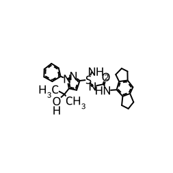 CC(C)(O)c1cc(/S(N)=N/C(=O)Nc2c3c(cc4c2CCC4)CCC3)nn1-c1ccccc1